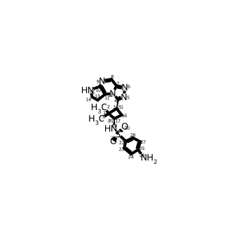 CC1(C)[C@@H](c2nnc3cnc4c(n23)CCN4)C[C@H]1NS(=O)(=O)c1ccc(N)cc1